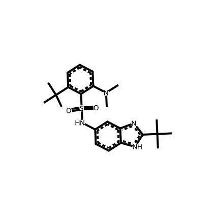 CN(C)c1cccc(C(C)(C)C)c1S(=O)(=O)Nc1ccc2[nH]c(C(C)(C)C)nc2c1